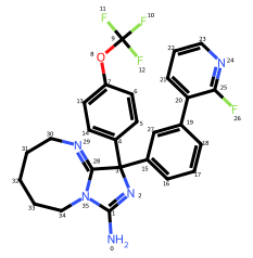 NC1=NC(c2ccc(OC(F)(F)F)cc2)(c2cccc(-c3cccnc3F)c2)C2=NCCCCCN12